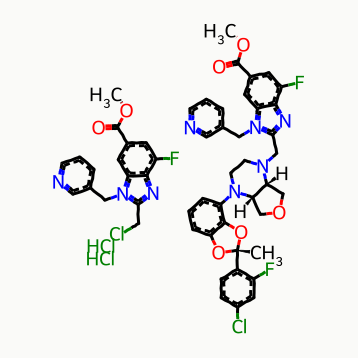 COC(=O)c1cc(F)c2nc(CCl)n(Cc3cccnc3)c2c1.COC(=O)c1cc(F)c2nc(CN3CCN(c4cccc5c4O[C@](C)(c4ccc(Cl)cc4F)O5)[C@H]4COC[C@H]43)n(Cc3cccnc3)c2c1.Cl.Cl